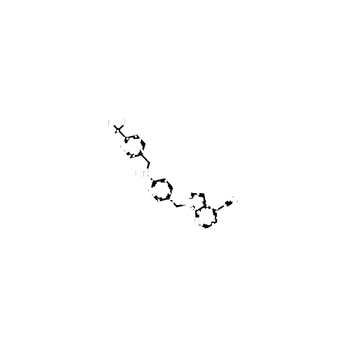 N#Cc1ccnc2c1ccn2Cc1ccc(NCc2ccc(C(F)(F)F)nc2)nc1